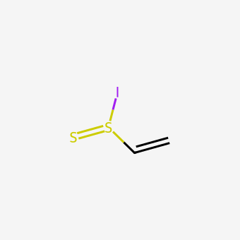 C=CS(=S)I